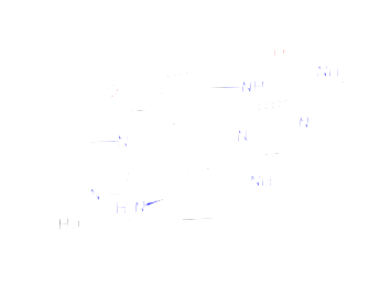 CN1CCN(C(=O)c2ccc(Nc3nc(N[C@H]4CC[C@H](N)CC4)cnc3C(N)=O)cc2)CC1